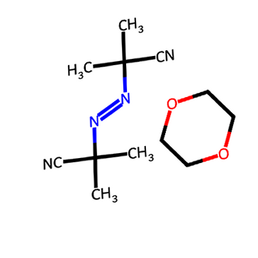 C1COCCO1.CC(C)(C#N)/N=N/C(C)(C)C#N